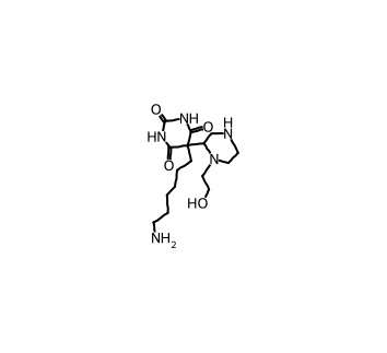 NCCCCCCC1(C2CNCCN2CCO)C(=O)NC(=O)NC1=O